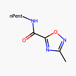 CCCCCNC(=O)c1nc(C)no1